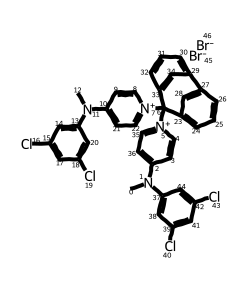 CN(c1cc[n+](C2([n+]3ccc(N(C)c4cc(Cl)cc(Cl)c4)cc3)c3cccc(c3)-c3cccc2c3)cc1)c1cc(Cl)cc(Cl)c1.[Br-].[Br-]